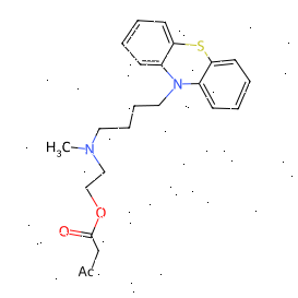 CC(=O)CC(=O)OCCN(C)CCCCN1c2ccccc2Sc2ccccc21